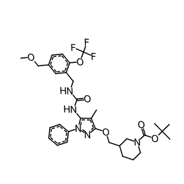 COCc1ccc(OC(F)(F)F)c(CNC(=O)Nc2c(C)c(OCC3CCCN(C(=O)OC(C)(C)C)C3)nn2-c2ccccc2)c1